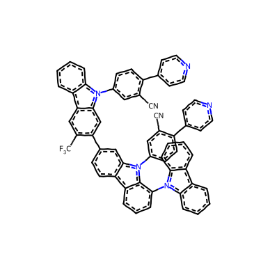 N#Cc1cc(-n2c3ccccc3c3cc(C(F)(F)F)c(-c4ccc5c6cccc(-n7c8ccccc8c8ccccc87)c6n(-c6ccc(-c7ccncc7)c(C#N)c6)c5c4)cc32)ccc1-c1ccncc1